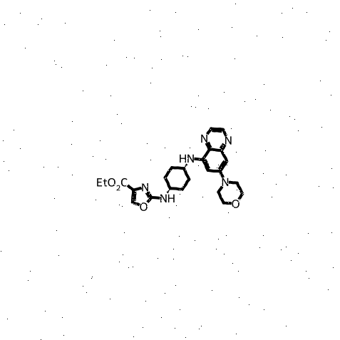 CCOC(=O)c1coc(N[C@H]2CC[C@@H](Nc3cc(N4CCOCC4)cc4nccnc34)CC2)n1